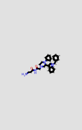 NCCC(=O)NC(=O)CN1CCN(c2ccccc2)C(c2cn(Cc3ccccc3)c3ccccc23)C1